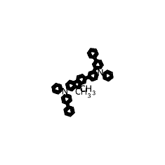 CC1(C)c2cc(-c3ccc4c(c3)c3cc(-c5ccccc5)ccc3n4-c3ccccc3)ccc2-c2ccc(N(c3ccccc3)c3ccc(-c4ccccc4)cc3)cc21